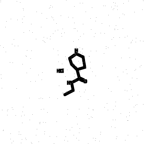 CCNC(=O)C1CCNCC1.Cl